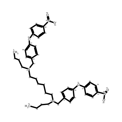 CCCCN(CCCCCCN(CCCC)Cc1ccc(Oc2ccc([N+](=O)[O-])cc2)cc1)Cc1ccc(Oc2ccc([N+](=O)[O-])cc2)cc1